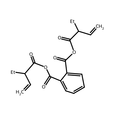 C=CC(CC)C(=O)OC(=O)c1ccccc1C(=O)OC(=O)C(C=C)CC